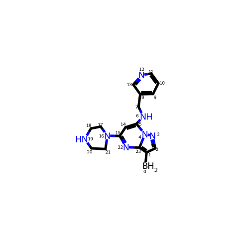 Bc1cnn2c(NCc3cccnc3)cc(N3CCNCC3)nc12